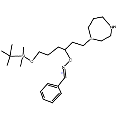 CC(C)(C)[Si](C)(C)OCCCC(CCN1CCCNCC1)O/N=C/c1ccccc1